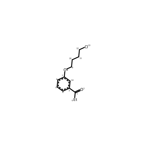 CCC(=O)c1cccc(OCCCCCl)c1